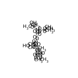 COCN1C(=O)N(COC)C2C1N(COC)C(=O)N2COCCn1c(=O)n(CCOC(=O)CCn2c(=O)n(CCC(=O)OC(C)(C)C)c(=O)n(CCC(=O)OC(C)(C)CO)c2=O)c(=O)n(CCC(C)(C)O)c1=O